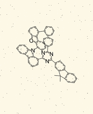 CC1(C)c2ccccc2-c2ccc(-c3nc(-c4ccccc4)nc(-c4cccc5c6ccccc6n(-c6cccc7c6oc6cccc(-c8ccccc8)c67)c45)n3)cc21